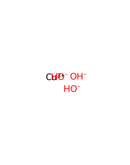 [Cu+3].[OH-].[OH-].[OH-]